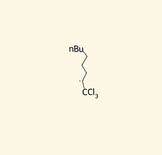 CCCCCCC[CH]C(Cl)(Cl)Cl